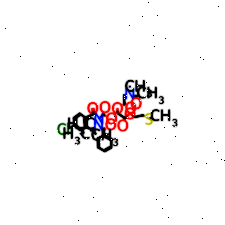 CSCCOC(=O)C(OC(=O)CN(C)C(C)=O)OC(=O)N(C(=O)c1ccc(Cl)cc1)N(C(=O)c1ccccc1)C(C)(C)C